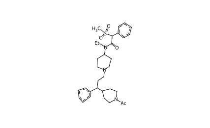 CCN(C(=O)C(c1ccccc1)S(C)(=O)=O)C1CCN(CCC(c2ccccc2)C2CCN(C(C)=O)CC2)CC1